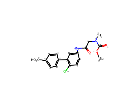 CN(CC(=O)Nc1ccc(Cl)c(-c2ccc(C(=O)O)cc2)c1)C(=O)OC(C)(C)C